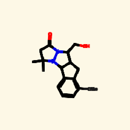 COc1cccc2c1CC1C(CO)N3C(=O)CC(C)(C)N3C21